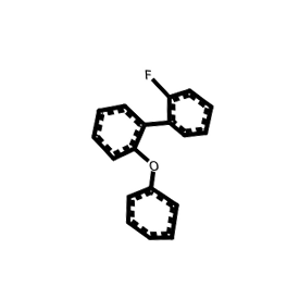 Fc1ccccc1-c1ccccc1Oc1ccccc1